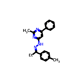 CCC(=NNc1cc(-c2ccccc2)nc(C)n1)c1ccc(C)cc1